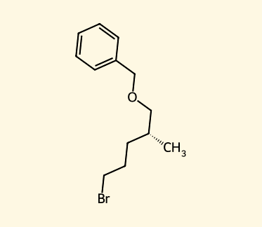 C[C@H](CCCBr)COCc1ccccc1